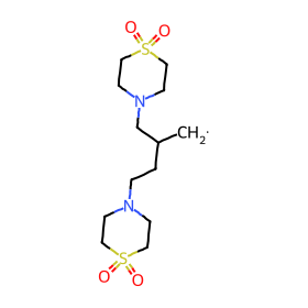 [CH2]C(CCN1CCS(=O)(=O)CC1)CN1CCS(=O)(=O)CC1